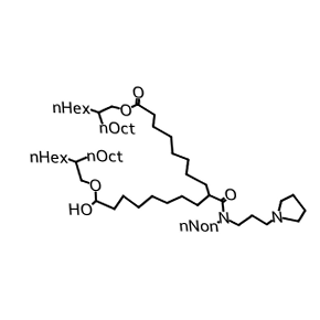 CCCCCCCCCN(CCCN1CCCC1)C(=O)C(CCCCCCCC(=O)OCC(CCCCCC)CCCCCCCC)CCCCCCCC(O)OCC(CCCCCC)CCCCCCCC